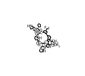 CCn1c(C2=C([C@H](C)OC)N=CC(N3CCN4CCCC[C@@H]4C3)C2)c2c3cc(ccc31)-c1cc(cc(C(F)F)c1)C[C@H](NC(=O)[C@H](C1CCCC1)N1CC[C@]3(CCNC3)C1)C(=O)N1CCC[C@H](N1)C(=O)OCC(C)(C)C2